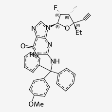 C#C[C@]1(CC)O[C@@H](n2cnc3c(=O)[nH]c(NC(c4ccccc4)(c4ccccc4)c4ccc(OC)cc4)nc32)[C@H](F)[C@@H]1C